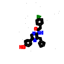 O=C(Cc1ccc(Br)cc1)Nc1ncc(-c2ccc(O)cc2)nc1CC1CCCC1